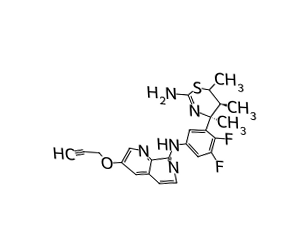 C#CCOc1cnc2c(Nc3cc(F)c(F)c([C@@]4(C)N=C(N)SC(C)[C@H]4C)c3)nccc2c1